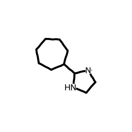 C1CCCC(C2[N]CCN2)CC1